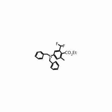 CCOC(=O)c1c(C)cc(N(Cc2ccccc2)Cc2ccccc2)cc1C(F)F